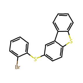 Brc1ccccc1Sc1ccc2sc3ccccc3c2c1